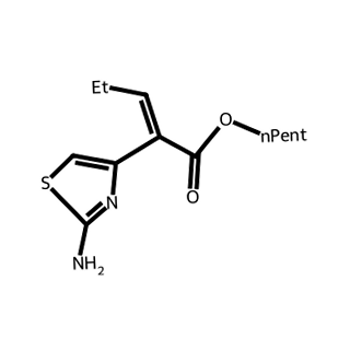 CC/C=C(/C(=O)OCCCCC)c1csc(N)n1